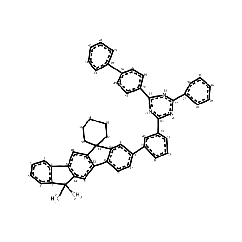 CC1(C)c2ccccc2-c2cc3c(cc21)-c1ccc(-c2cccc(-c4nc(-c5ccccc5)nc(-c5ccc(-c6ccccc6)cc5)n4)c2)cc1C31CCCCC1